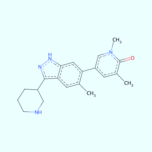 Cc1cc2c(C3CCCNC3)n[nH]c2cc1-c1cc(C)c(=O)n(C)c1